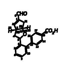 O=CC1=C[C@H]2CC(c3ccccc3-c3ccc(C(=O)O)cc3)O[C@H]2C1